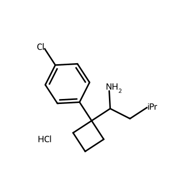 CC(C)CC(N)C1(c2ccc(Cl)cc2)CCC1.Cl